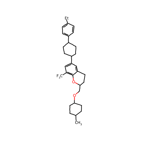 CCc1ccc(C2CCC(c3cc4c(c(C(F)(F)F)c3)OC(COC3CCC(C)CC3)CC4)CC2)cc1